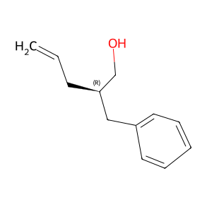 C=CC[C@@H](CO)Cc1ccccc1